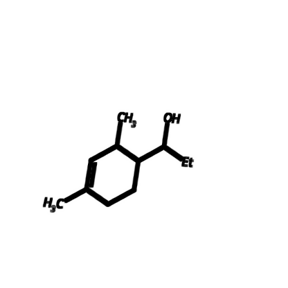 CCC(O)C1CCC(C)=CC1C